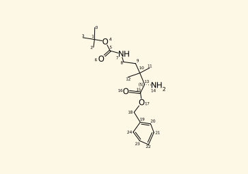 CC(C)(C)OC(=O)NCCC(C)(C)[C@H](N)C(=O)OCc1ccccc1